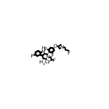 C[C@H]1Cc2c([nH]c3ccc(F)cc23)[C@H](c2c(F)cc(OC3CN(CCCF)C3)cc2F)N1CC(F)F